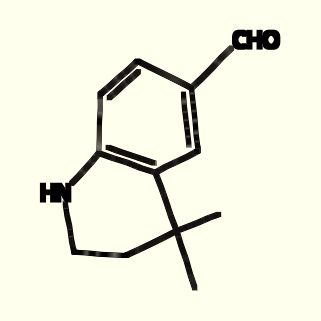 CC1(C)CCNc2ccc(C=O)cc21